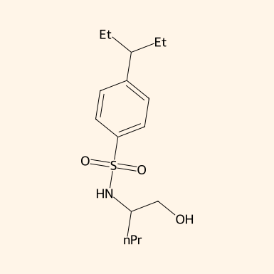 CCCC(CO)NS(=O)(=O)c1ccc(C(CC)CC)cc1